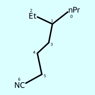 CCCC(CC)CCCC#N